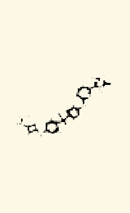 Cc1nnc(-c2cccc(Oc3ccc(C(C)(C)c4ccc(OC5CC(NC(=O)O)C5)cc4)cc3)n2)o1